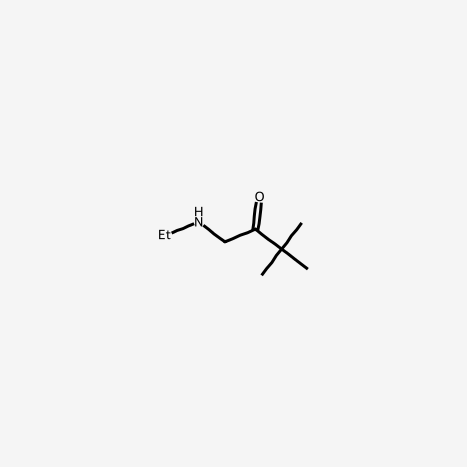 CCNCC(=O)C(C)(C)C